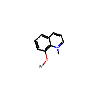 CCOc1cccc2ccc[n+](C)c12